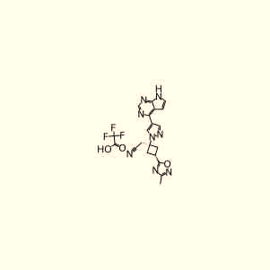 Cc1noc([C@H]2C[C@@](CC#N)(n3cc(-c4ncnc5[nH]ccc45)cn3)C2)n1.O=C(O)C(F)(F)F